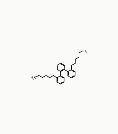 CCCCCCc1ccccc1-c1[c]cccc1-c1ccccc1CCCCCC